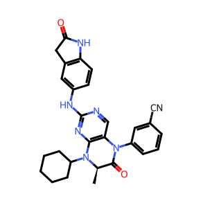 C[C@@H]1C(=O)N(c2cccc(C#N)c2)c2cnc(Nc3ccc4c(c3)CC(=O)N4)nc2N1C1CCCCC1